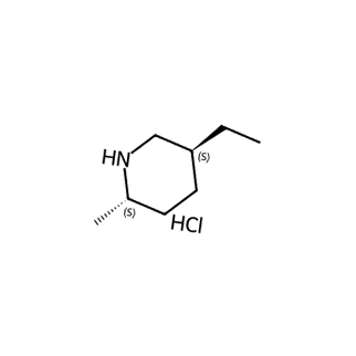 CC[C@H]1CC[C@H](C)NC1.Cl